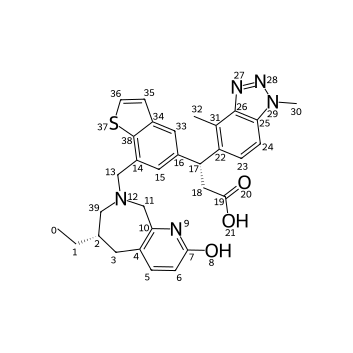 CC[C@H]1Cc2ccc(O)nc2CN(Cc2cc([C@@H](CC(=O)O)c3ccc4c(nnn4C)c3C)cc3ccsc23)C1